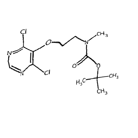 CN(CCOc1c(Cl)ncnc1Cl)C(=O)OC(C)(C)C